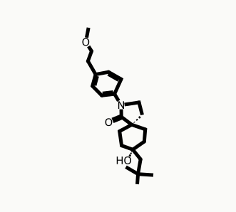 COCCc1ccc(N2CC[C@]3(CC[C@](O)(CC(C)(C)C)CC3)C2=O)cc1